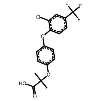 CC(C)(Oc1ccc(Oc2ccc(C(F)(F)F)cc2Cl)cc1)C(=O)O